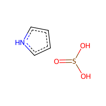 O=S(O)O.c1cc[nH]c1